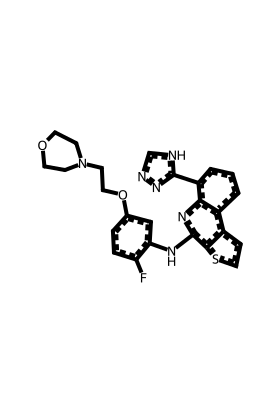 Fc1ccc(OCCN2CCOCC2)cc1Nc1nc2c(-c3nnc[nH]3)cccc2c2ccsc12